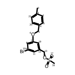 Cc1ccc(COc2cc(Br)cc(COS(C)(=O)=O)c2)cc1